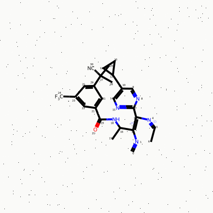 C=N/C(=C(\N=C/C)c1ncc(C2CC2)cn1)C(C)NC(=O)c1cc(C(F)(F)F)cc(C(C)(C)C#N)c1